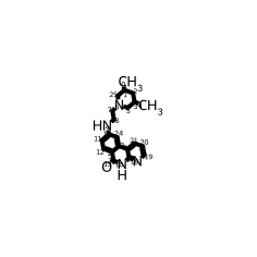 CC1CC(C)CN(CCNc2ccc3c(=O)[nH]c4ncccc4c3c2)C1